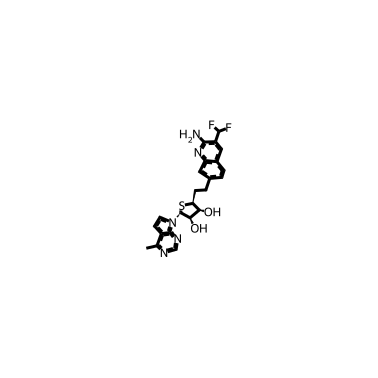 Cc1ncnc2c1ccn2[C@@H]1S[C@@H](CCc2ccc3cc(C(F)F)c(N)nc3c2)[C@@H](O)[C@H]1O